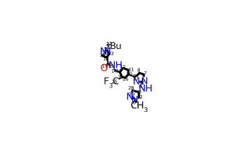 Cn1cc(Nc2nccc(-c3ccc(CNC(=O)c4cnn(C(C)(C)C)c4)c(C(F)(F)F)c3)n2)cn1